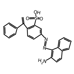 C=C(c1ccccc1)c1ccc(N=Nc2c(N)ccc3ccccc23)cc1S(=O)(=O)O